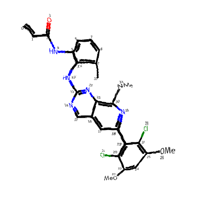 C=CC(=O)Nc1cccc(C)c1Nc1ncc2cc(-c3c(Cl)c(OC)cc(OC)c3Cl)nc(NC)c2n1